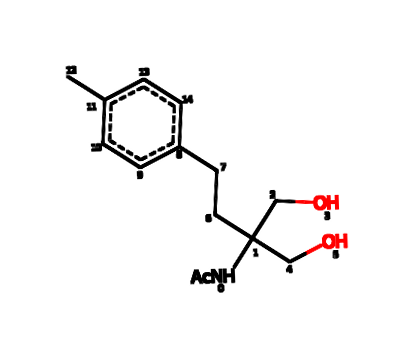 CC(=O)NC(CO)(CO)CCc1ccc(C)cc1